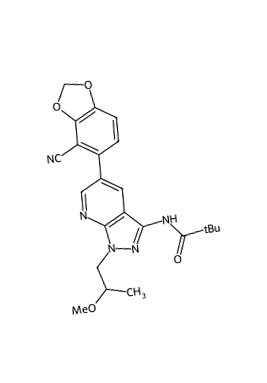 COC(C)Cn1nc(NC(=O)C(C)(C)C)c2cc(-c3ccc4c(c3C#N)OCO4)cnc21